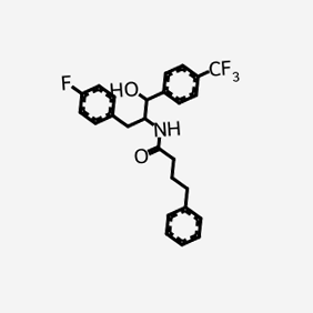 O=C(CCCc1ccccc1)NC(Cc1ccc(F)cc1)C(O)c1ccc(C(F)(F)F)cc1